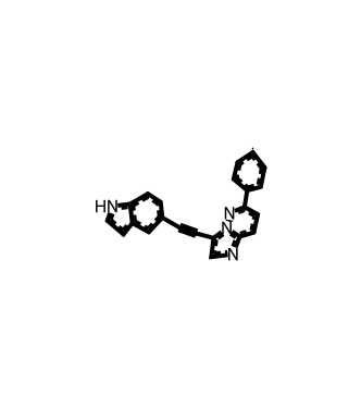 C(#Cc1cnc2ccc(-c3cc[c]cc3)nn12)c1ccc2[nH]ccc2c1